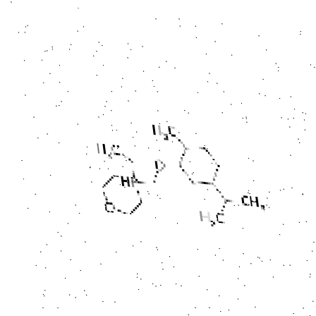 CC[PH]1(CO[C@H]2CC(C(C)C)CCC2C)CCOCC1